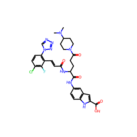 CN(C)C1CCN(C(=O)CCC(NC(=O)/C=C/c2c(-n3cnnn3)ccc(Cl)c2F)C(=O)Nc2ccc3[nH]c(C(=O)O)cc3c2)CC1